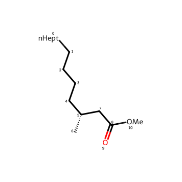 CCCCCCCCCCC[C@@H](C)CC(=O)OC